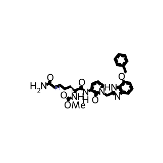 COC(=O)N[C@@H](CC/C=C/C(N)=O)C(=O)Nc1cccn(Cc2nc3cccc(OCc4ccccc4)c3[nH]2)c1=O